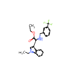 CCOC(=O)C(NCc1cccc(C(F)(F)F)c1)c1cn(CC)c2ccccc12